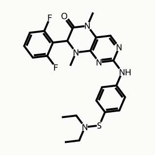 CCN(CC)Sc1ccc(Nc2ncc3c(n2)N(C)C(c2c(F)cccc2F)C(=O)N3C)cc1